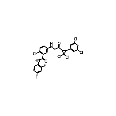 O=C(Nc1ccc(F)cc1F)c1cc(NCC(=O)C2C(c3cc(Cl)cc(Cl)c3)C2(Cl)Cl)ccc1Cl